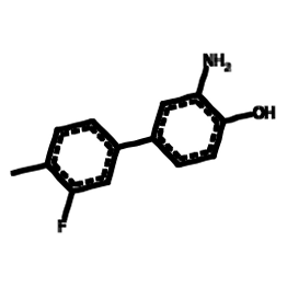 Cc1ccc(-c2ccc(O)c(N)c2)cc1F